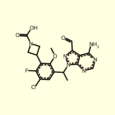 COc1c(C(C)n2nc(C=O)c3c(N)ncnc32)cc(Cl)c(F)c1C1CN(C(=O)O)C1